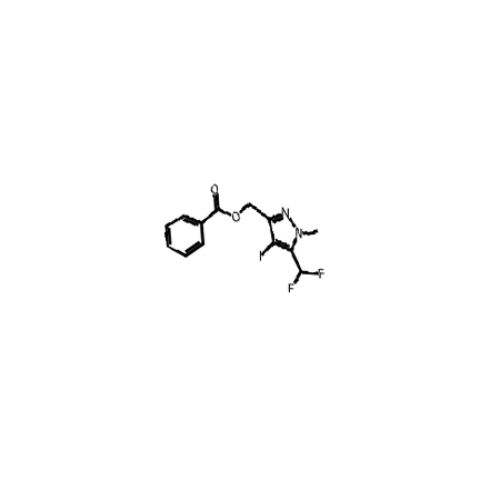 Cn1nc(COC(=O)c2ccccc2)c(I)c1C(F)F